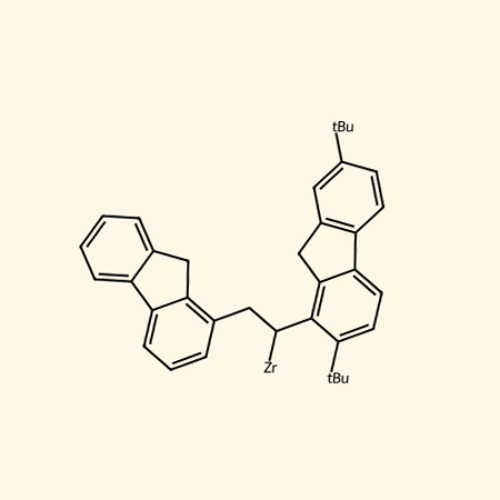 CC(C)(C)c1ccc2c(c1)Cc1c-2ccc(C(C)(C)C)c1[CH]([Zr])Cc1cccc2c1Cc1ccccc1-2